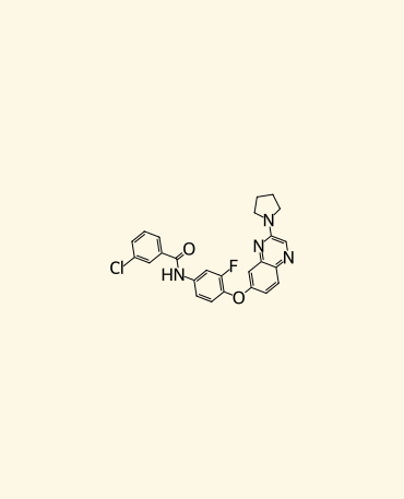 O=C(Nc1ccc(Oc2ccc3ncc(N4CCCC4)nc3c2)c(F)c1)c1cccc(Cl)c1